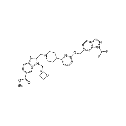 CC(C)(C)OC(=O)c1ccc2nc(CN3CCC(c4cccc(OCc5ccc6cnn(C(F)F)c6c5)n4)CC3)n(C[C@@H]3CCO3)c2c1